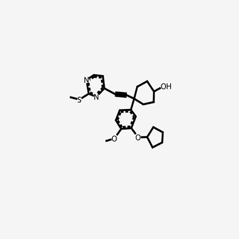 COc1ccc(C2(C#Cc3ccnc(SC)n3)CCC(O)CC2)cc1OC1CCCC1